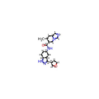 Cc1cc2cncn2cc1C(=O)Nc1ccc2[nH]nc(-c3ccoc3)c2c1